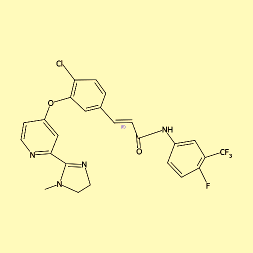 CN1CCN=C1c1cc(Oc2cc(/C=C/C(=O)Nc3ccc(F)c(C(F)(F)F)c3)ccc2Cl)ccn1